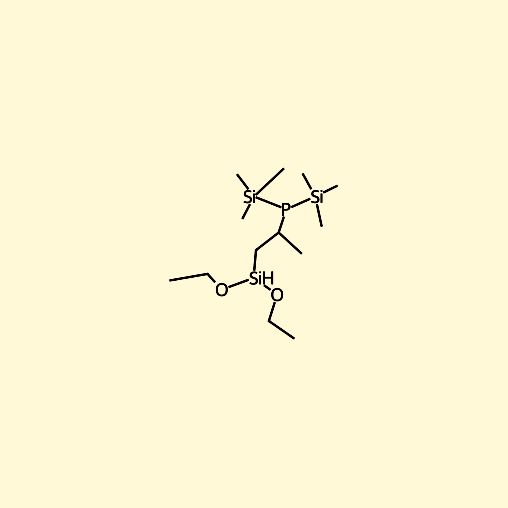 CCO[SiH](CC(C)P([Si](C)(C)C)[Si](C)(C)C)OCC